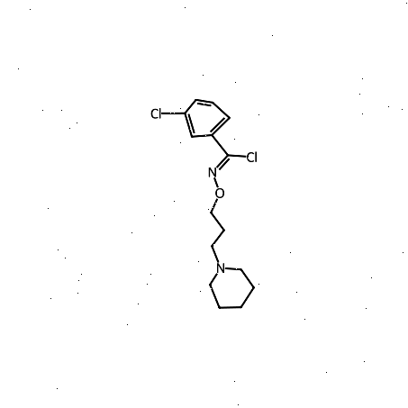 Cl/C(=N\OCCCN1CCCCC1)c1cccc(Cl)c1